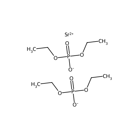 CCOP(=O)([O-])OCC.CCOP(=O)([O-])OCC.[Sr+2]